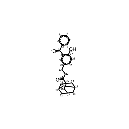 O=C(c1ccccc1)c1cc(CCC(=O)C23CC4CC(CC(C4)C2)C3)ccc1O